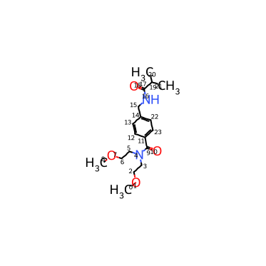 COCCN(CCOC)C(=O)c1ccc(CNC(=O)C(C)C)cc1